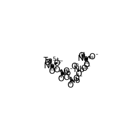 [O]=[Nb](=[O])[O-].[O]=[Nb](=[O])[O-].[O]=[Nb](=[O])[O-].[O]=[Nb](=[O])[O-].[O]=[Nb](=[O])[O-].[Ta+5]